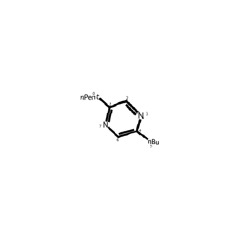 [CH2]CCCCc1cnc(CCCC)cn1